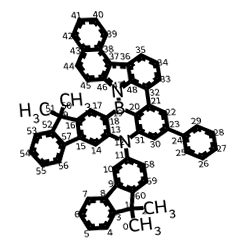 CC1(C)c2ccccc2-c2cc(N3c4cc5c(cc4B4c6c(cc(-c7ccccc7)cc63)-c3cccc6c7c8ccccc8ccc7n4c36)C(C)(C)c3ccccc3-5)ccc21